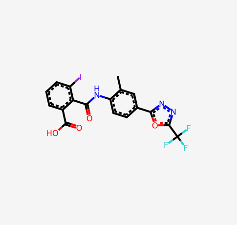 Cc1cc(-c2nnc(C(F)(F)F)o2)ccc1NC(=O)c1c(I)cccc1C(=O)O